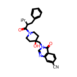 CC(C)C(Cc1ccccc1)C(=O)N1CCC(O)(Cn2cnc3cc(C#N)ccc3c2=O)CC1